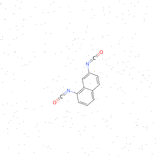 O=C=Nc1ccc2cccc(N=C=O)c2c1